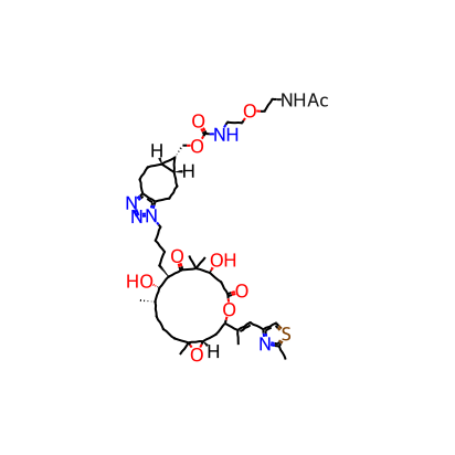 CC(=O)NCCOCCNC(=O)OC[C@@H]1[C@@H]2CCc3c(nnn3CCCC[C@H]3C(=O)C(C)(C)[C@@H](O)CC(=O)OC(/C(C)=C/c4csc(C)n4)C[C@@H]4OC4(C)CCC[C@H](C)[C@@H]3O)CC[C@@H]21